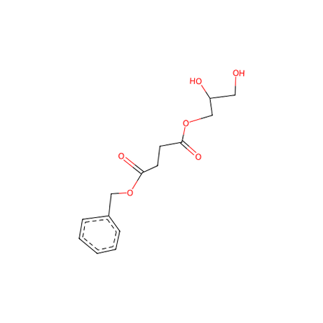 O=C(CCC(=O)OCC(O)CO)OCc1ccccc1